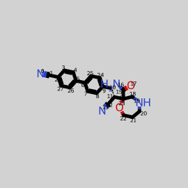 N#Cc1ccc(-c2ccc(C[C@@H](C#N)C3(C(N)=O)CNCCCO3)cc2)cc1